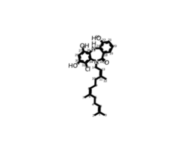 CC(C)=CCCC(C)=CCCC(C)=CCN1C(=O)c2cccc(O)c2Nc2c(O)cc(O)c(Cl)c21